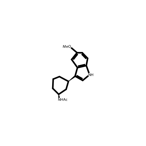 COc1ccc2[nH]cc([C@@H]3CCC[C@H](NC(C)=O)C3)c2c1